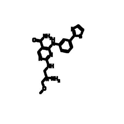 COC[C@H](N)CNc1ncc(C(N)=O)c(Nc2cccc(-c3nccs3)c2)n1